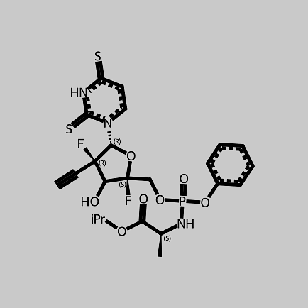 C#C[C@@]1(F)C(O)[C@@](F)(COP(=O)(N[C@@H](C)C(=O)OC(C)C)Oc2ccccc2)O[C@H]1n1ccc(=S)[nH]c1=S